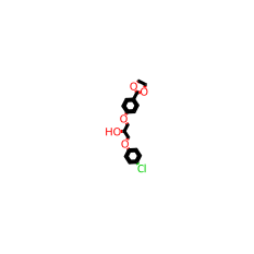 OC(COc1ccc(Cl)cc1)COc1ccc(C2OCCO2)cc1